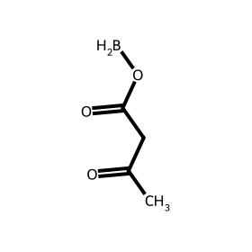 BOC(=O)CC(C)=O